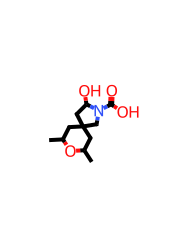 CC1CC2(CC(C)O1)CC(O)N(C(=O)O)C2